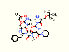 C[C@@H](O)COC[C@H](N[C@H](Cc1ccccc1)N(C)C(=O)N(C)C(=O)[C@H](NC(=O)N(C)C(=O)[C@@H](N)COC(C)(C)C)C(=O)N1CCCCC1)C(=O)N(C)C(N)=O